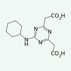 O=C(O)Cc1nc(CC(=O)O)nc(NC2CCCCC2)n1